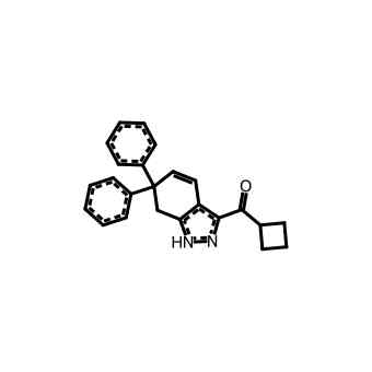 O=C(c1n[nH]c2c1C=CC(c1ccccc1)(c1ccccc1)C2)C1CCC1